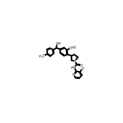 Cc1ccc(C(O)c2ccc(C3CCN(C(=O)Nc4ncccc4Cl)C3)c(C=O)c2)cc1